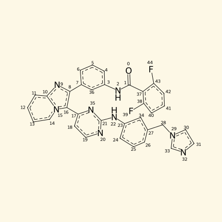 O=C(Nc1cccc(-c2nc3ccccn3c2-c2ccnc(Nc3cccc(Cn4ccnc4)c3)n2)c1)c1c(F)cccc1F